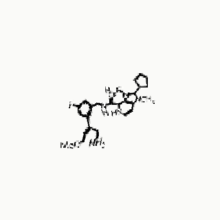 COC/C=C(\C=C/N)c1cc(F)cc(CNC(=O)C2NC=CC3=C2N(C)C(C2CCCC2)N3C)c1